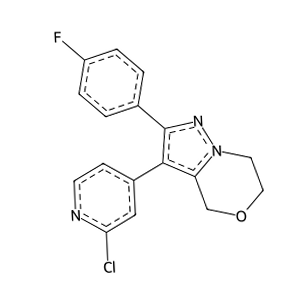 Fc1ccc(-c2nn3c(c2-c2ccnc(Cl)c2)COCC3)cc1